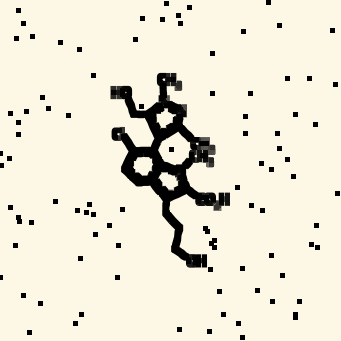 Cc1nn(C)c(CO)c1-c1c(Cl)ccc2c(CCCO)c(C(=O)O)n(C)c12